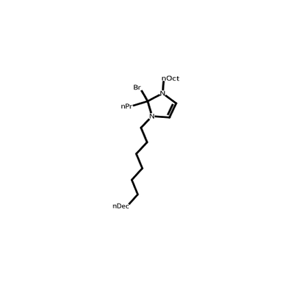 CCCCCCCCCCCCCCCCN1C=CN(CCCCCCCC)C1(Br)CCC